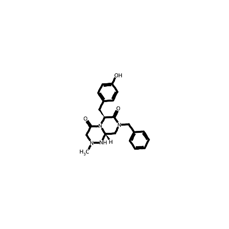 CN1CC(=O)N2[C@H](CN(Cc3ccccc3)C(=O)[C@@H]2Cc2ccc(O)cc2)N1